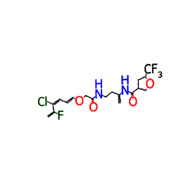 C=C(CCNC(=O)CO/C=C/C=C(/Cl)C(=C)F)NC(=O)C1COC(C(F)(F)F)C1